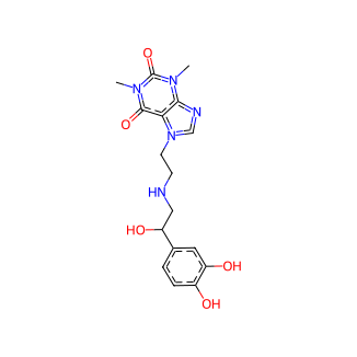 Cn1c(=O)c2c(ncn2CCNCC(O)c2ccc(O)c(O)c2)n(C)c1=O